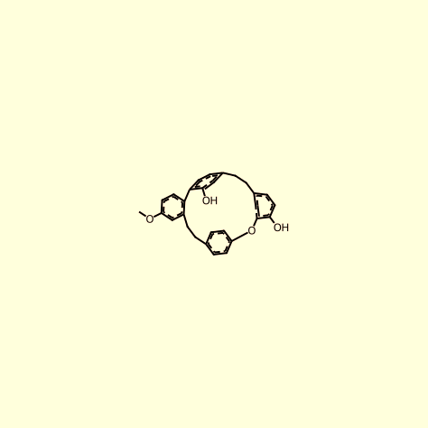 COc1ccc2c(c1)CCc1ccc(cc1)Oc1cc(ccc1O)CCc1ccc-2c(O)c1